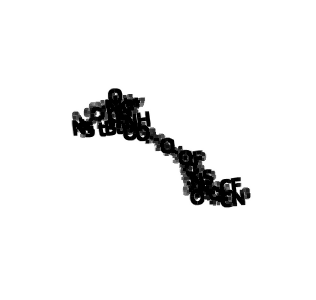 Cc1ncsc1-c1ccc(CNC(=O)[C@@H]2C[C@@H](C)CN2C(=O)[C@@H](NC(=O)COCCCCOCCCOc2ccc(N3C(=S)N(c4ccc(C#N)c(C(F)(F)F)c4)C(=O)C3(C)C)cc2F)C(C)(C)C)cc1